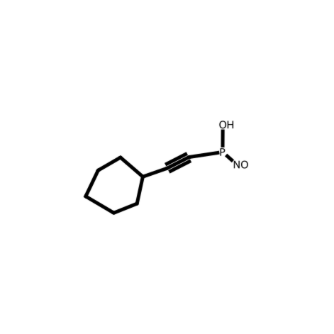 O=NP(O)C#CC1CCCCC1